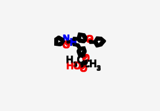 CC(C)(Oc1ccc(CCN(Cc2ccc(OCc3ccccc3)cc2)c2nc3ccccc3o2)cc1)C(=O)O